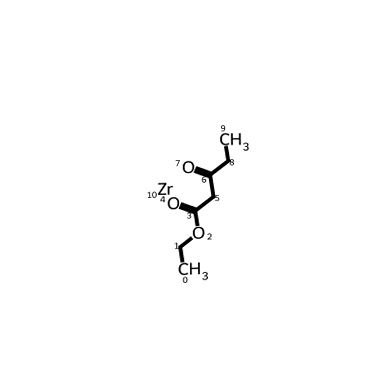 CCOC(=O)CC(=O)CC.[Zr]